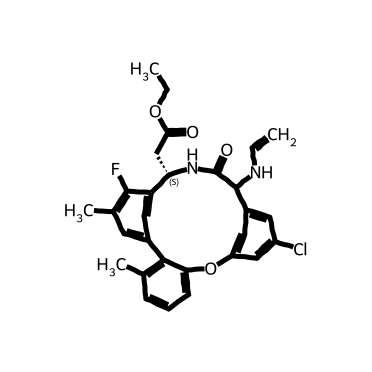 C=CNC1C(=O)N[C@@H](CC(=O)OCC)c2cc(cc(C)c2F)-c2c(C)cccc2Oc2cc(Cl)cc1c2